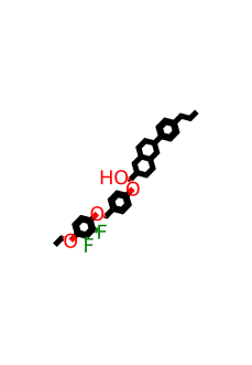 CCCc1ccc(C2CCC3CC(C(O)Oc4ccc(COc5ccc(OCC)c(F)c5F)cc4)CCC3C2)cc1